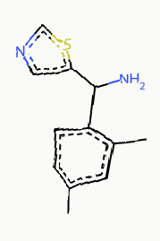 Cc1ccc(C(N)c2cncs2)c(C)c1